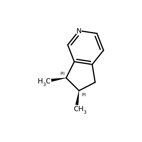 C[C@@H]1Cc2ccncc2[C@@H]1C